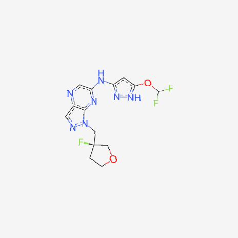 FC(F)Oc1cc(Nc2cnc3cnn(C[C@@]4(F)CCOC4)c3n2)n[nH]1